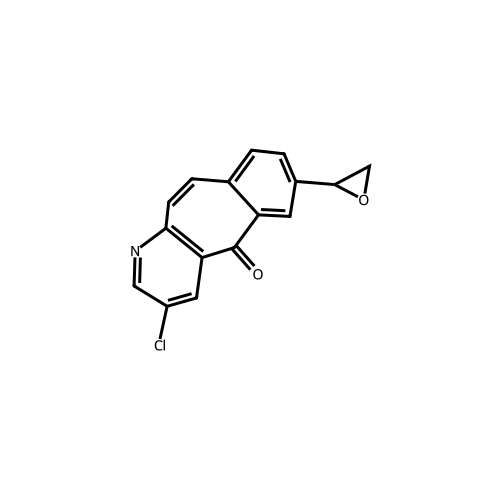 O=c1c2cc(C3CO3)ccc2ccc2ncc(Cl)cc12